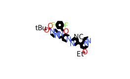 CCOc1cc(-c2ccc(N3CCC(CN4CCN(C(=O)OC(C)(C)C)CC4)(NC(=O)c4cc(F)ccc4F)CC3)nc2)c2c(C#N)cnn2c1